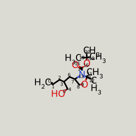 C=CCC(CO)CC1COC(C)(C)N1C(=O)OC(C)(C)C